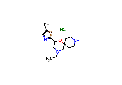 Cc1cnc(C2CN(CC(F)(F)F)CC3(CCNCC3)O2)s1.Cl